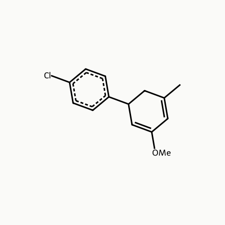 COC1=CC(c2ccc(Cl)cc2)CC(C)=C1